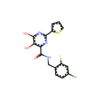 O=C(NCc1ccc(Cl)cc1F)c1nc(-c2cccs2)nc(O)c1O